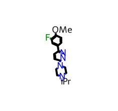 COc1ccc(-c2ccc(N3CCN(C(C)C)CC3)nn2)cc1F